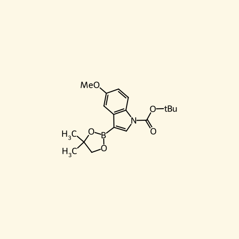 COc1ccc2c(c1)c(B1OCC(C)(C)O1)cn2C(=O)OC(C)(C)C